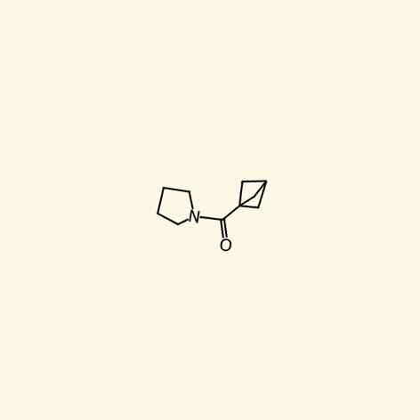 O=C(N1CCCC1)C12CC(C1)C2